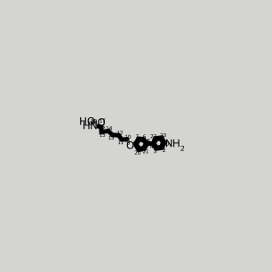 Nc1ccc(-c2ccc(OCCCCCCC(=O)NO)cc2)cc1